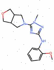 COc1ccccc1Nc1nc(N2CC3COCC3C2)n(C)n1